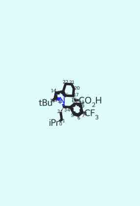 CC(C)CC[C@@H](c1ccc(C(F)(F)F)cc1)n1c(C(C)(C)C)cc2c1[C@@H](CC(=O)O)CCC2